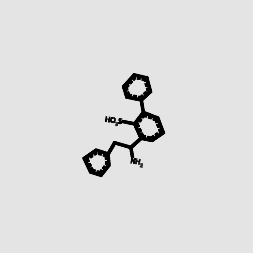 NC(Cc1ccccc1)c1cccc(-c2ccccc2)c1S(=O)(=O)O